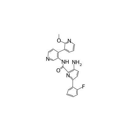 COc1ncccc1-c1ccncc1NC(=O)c1nc(-c2ccccc2F)ccc1N